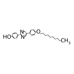 CCCCCCCCCCOc1ccc(-c2cnc(-c3ccc(O)cc3)nc2)cc1